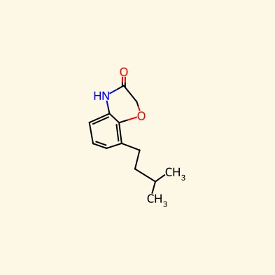 CC(C)CCc1cccc2c1OCC(=O)N2